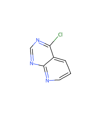 Clc1ncnc2ncccc12